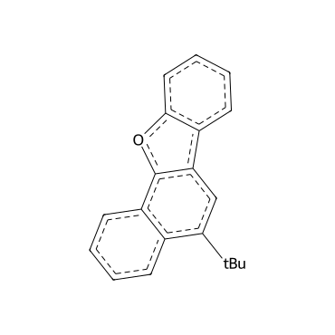 CC(C)(C)c1cc2c3ccccc3oc2c2ccccc12